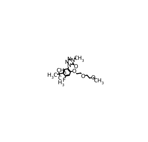 COCCOCCOc1cc(F)c(C(C)(C)C)cc1-n1nnn(C)c1=O